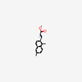 COC(=O)/C=C/c1ccc2cc(C)ccc2c1C